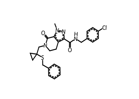 Cn1nc(C(=O)NCc2ccc(Cl)cc2)c2c1C(=O)N(CC1(SCc3ccccc3)CC1)CC2